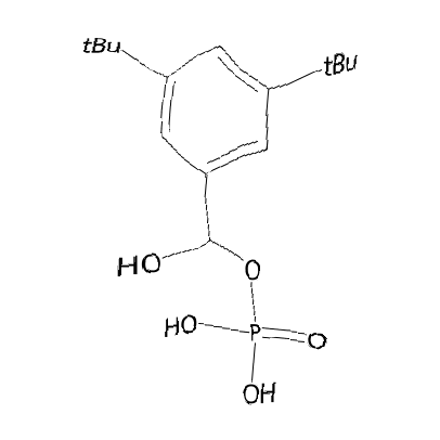 CC(C)(C)c1cc(C(O)OP(=O)(O)O)cc(C(C)(C)C)c1